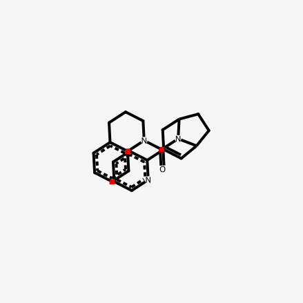 O=C(N1CCCc2ccccc21)N1C2C=C(c3ccccn3)CC1CC2